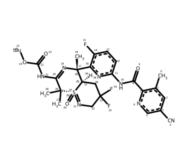 Cc1cc(C#N)cnc1C(=O)Nc1ccc(F)c([C@@]2(C)N=C(NC(=O)OC(C)(C)C)C(C)(C)[S@@]3(=O)=NCC(F)(F)C[C@H]23)n1